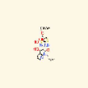 COCOCc1csc2c1S(O)(O)N=C(c1c(O)c3cccnc3n(CCC(C)C)c1=O)N2